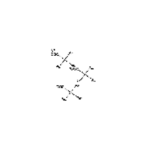 CC(=O)C(C(C)=O)(C(C)=O)C(=O)[O-].CC(=O)C(C(C)=O)(C(C)=O)C(=O)[O-].CC(=O)C(C(C)=O)(C(C)=O)C(=O)[O-].[V+3]